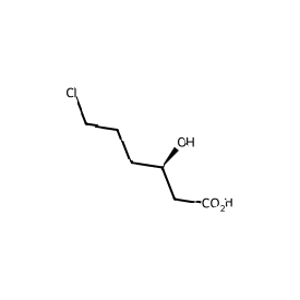 O=C(O)C[C@H](O)CCCCl